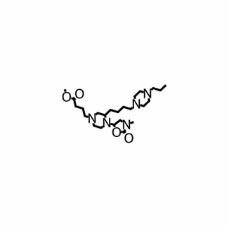 CCCN1CCN(CCCCC2CN(CCCC(=O)OC)CCN2C2CN(C)C(=O)O2)CC1